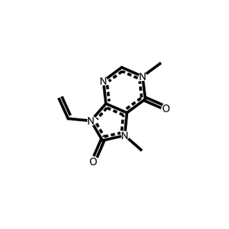 C=Cn1c(=O)n(C)c2c(=O)n(C)cnc21